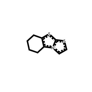 c1c[n+]2c3c(sc2s1)CCCC3